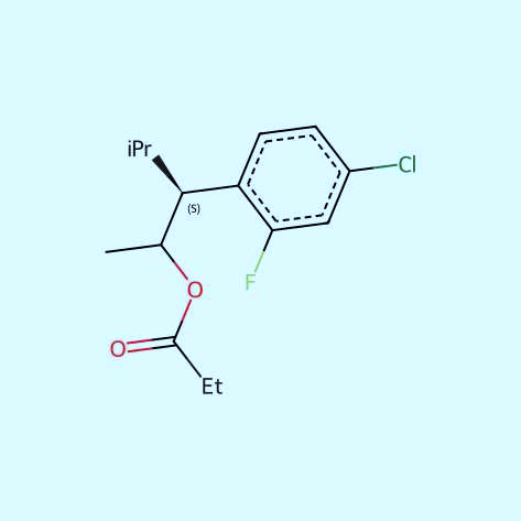 CCC(=O)OC(C)[C@H](c1ccc(Cl)cc1F)C(C)C